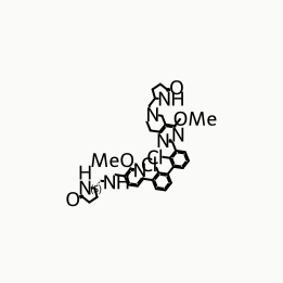 COc1nc(-c2cccc(-c3cccc(-c4nc5c(c(OC)n4)CN(CC4CCC(=O)N4)CC5)c3Cl)c2Cl)ccc1CNC[C@@H]1CCC(=O)N1